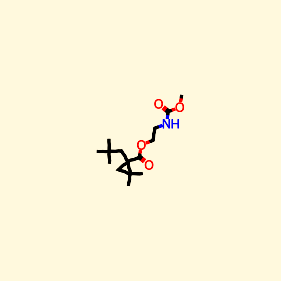 COC(=O)NCCOC(=O)C1(CC(C)(C)C)CC1(C)C